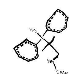 CONCC(C)(C)[Si](O)(c1ccccc1)c1ccccc1